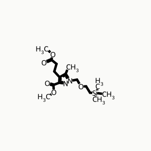 COC(=O)CCc1c(C(=O)OC)nn(COCC[Si](C)(C)C)c1C